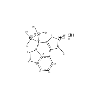 CC1=CC[C]([Ti]2([CH]3C=Cc4ccccc43)[Si](C)(C)[Si]2(C)C)=C1.Cl.Cl